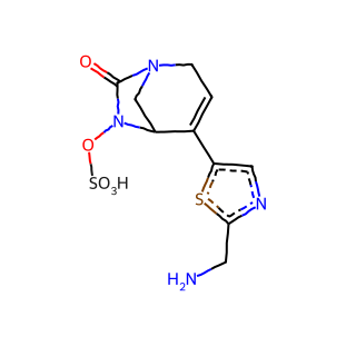 NCc1ncc(C2=CCN3CC2N(OS(=O)(=O)O)C3=O)s1